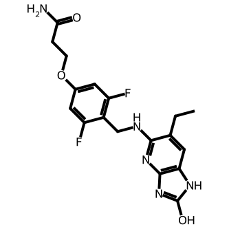 CCc1cc2[nH]c(O)nc2nc1NCc1c(F)cc(OCCC(N)=O)cc1F